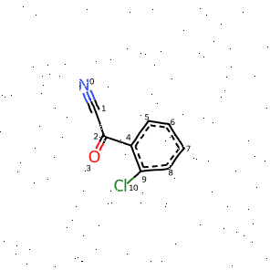 N#CC(=O)c1ccccc1Cl